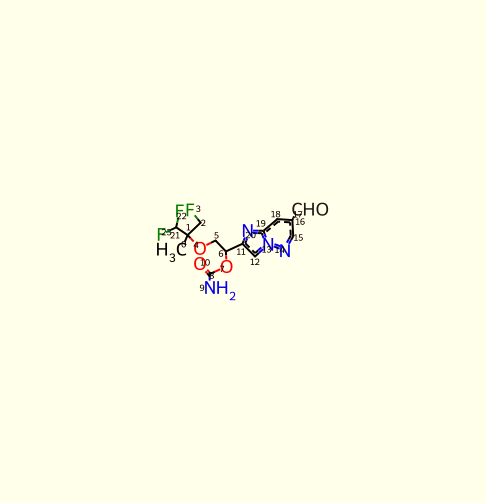 CC(CF)(OCC(OC(N)=O)c1cn2ncc(C=O)cc2n1)C(F)F